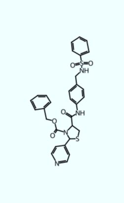 O=C(Nc1ccc(CNS(=O)(=O)c2ccccc2)cc1)C1CSC(c2ccncc2)N1C(=O)OCc1ccccc1